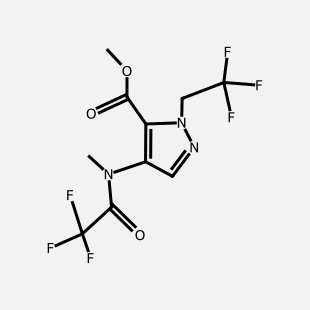 COC(=O)c1c(N(C)C(=O)C(F)(F)F)cnn1CC(F)(F)F